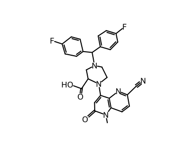 Cn1c(=O)cc(N2CCN(C(c3ccc(F)cc3)c3ccc(F)cc3)CC2C(=O)O)c2nc(C#N)ccc21